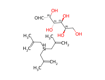 C=C(C)C[SiH](CC(=C)C)CC(=C)C.O=C[C@H](O)[C@@H](O)[C@@H](O)[C@H](O)CO